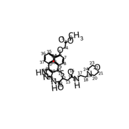 COC(=O)COc1ccc(C2SC(CC(=O)NCCN3CCOCC3)C(=O)Nc3n[nH]c(-c4ccccc4)c32)cc1